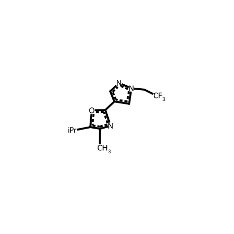 Cc1nc(-c2cnn(CC(F)(F)F)c2)oc1C(C)C